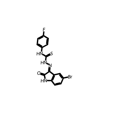 O=C1Nc2ccc(Br)cc2/C1=N/NC(=S)Nc1ccc(F)cc1